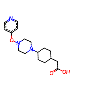 O=C(O)CC1CCC(N2CCN(Oc3ccncc3)CC2)CC1